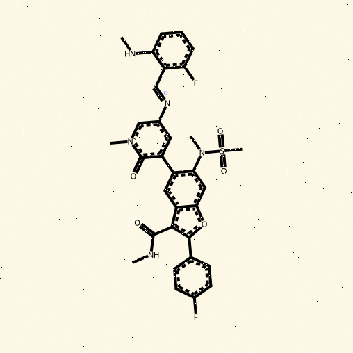 CNC(=O)c1c(-c2ccc(F)cc2)oc2cc(N(C)S(C)(=O)=O)c(-c3cc(/N=C/c4c(F)cccc4NC)cn(C)c3=O)cc12